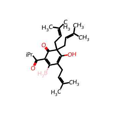 BC1=C(C(=O)C(C)C)C(=O)C(CC=C(C)C)(CC=C(C)C)C(O)=C1CC=C(C)C